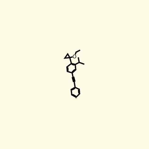 CCOC1(c2ccc(C#Cc3cc[c]cc3)cc2C(C)C)CC1